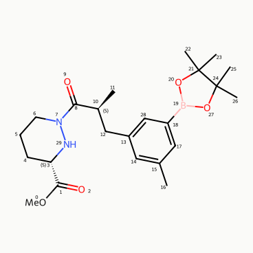 COC(=O)[C@@H]1CCCN(C(=O)[C@@H](C)Cc2cc(C)cc(B3OC(C)(C)C(C)(C)O3)c2)N1